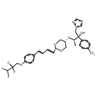 C[C@@H](S[C@H]1CO[C@H](C=CC=Cc2ccc(OCC(F)(F)C(F)F)cc2)OC1)[C@](O)(Cn1cncn1)c1ccc(C(F)(F)F)cc1